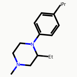 CCC1CN(C)CCN1c1ccc(C(C)C)cc1